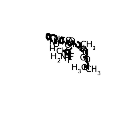 CN(C)CCOC(=O)CN1CCN(C2(C)CCN(C(=O)[C@@H](Cc3cc(Cl)c(N)c(C(F)(F)F)c3)OC(=O)N3CCC(N4CCc5ccccc5NC4=O)CC3)CC2)CC1